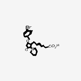 O=C(O)CCC=CCCC1C(OCc2ccc(Br)cc2)CC(=O)C1N1CCCCC1